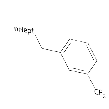 CCCCCCCCc1cccc(C(F)(F)F)c1